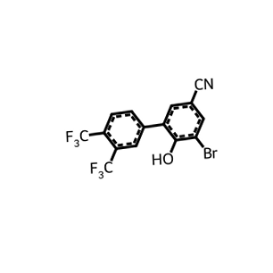 N#Cc1cc(Br)c(O)c(-c2ccc(C(F)(F)F)c(C(F)(F)F)c2)c1